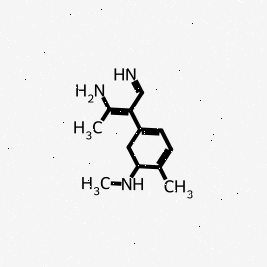 CNC1CC(/C(C=N)=C(\C)N)=CC=C1C